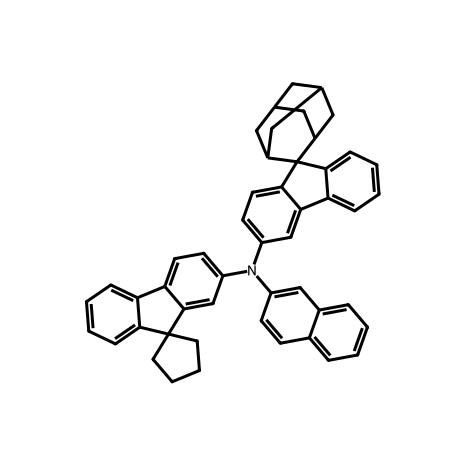 c1ccc2c(c1)-c1ccc(N(c3ccc4c(c3)-c3ccccc3C43C4CC5CC(C4)CC3C5)c3ccc4ccccc4c3)cc1C21CCCC1